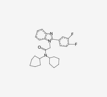 O=C(Cn1c(-c2ccc(F)c(F)c2)nc2ccccc21)N(C1CCCCC1)C1CCCCC1